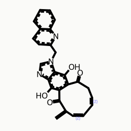 C=C1/C=C\C=C/CC(=O)c2c(c(O)c3ncn(Cc4ccc5ccccc5n4)c3c2O)C1=O